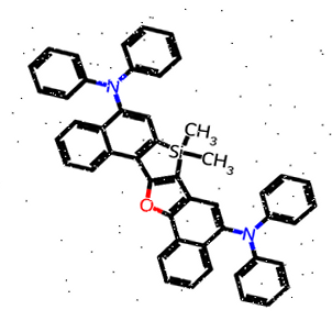 C[Si]1(C)c2cc(N(c3ccccc3)c3ccccc3)c3ccccc3c2-c2oc3c(cc(N(c4ccccc4)c4ccccc4)c4ccccc43)c21